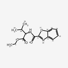 CCOC(=O)C(NC(=O)c1nc2ccccc2o1)C(C)C